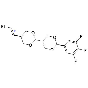 CC/C=C/[C@H]1CO[C@H]([C@H]2CO[C@H](c3cc(F)c(F)c(F)c3)OC2)OC1